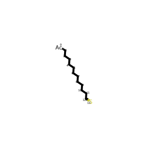 CC(=O)CCCCCCCCCCCC=S